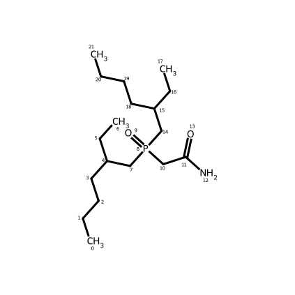 CCCCC(CC)CP(=O)(CC(N)=O)CC(CC)CCCC